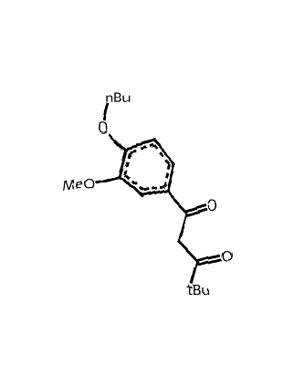 CCCCOc1ccc(C(=O)CC(=O)C(C)(C)C)cc1OC